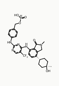 CN1Cc2c(c(Nc3nc(Nc4ccc(CO[PH](=O)O)cc4)ncc3C(F)(F)F)ccc2[C@H]2CC[C@](C)(O)CC2)C1=O